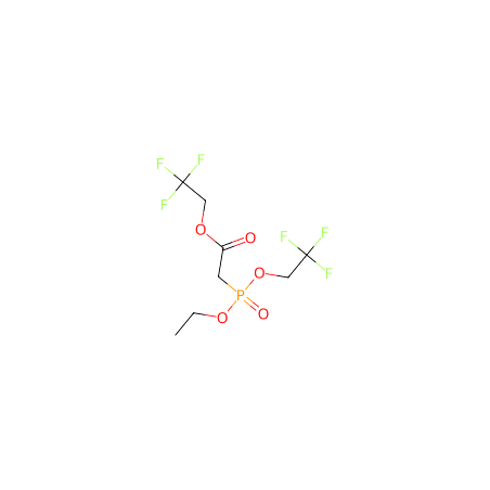 CCOP(=O)(CC(=O)OCC(F)(F)F)OCC(F)(F)F